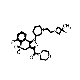 CC1(F)CN(CCN2CCCC(n3nc(C(=O)N4CCOCC4)c4c3-c3cccc(F)c3S(=O)(=O)C4)C2)C1